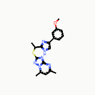 COc1cccc(-c2c[nH]c(C(C)Sc3nc4nc(C)cc(C)n4n3)n2)c1